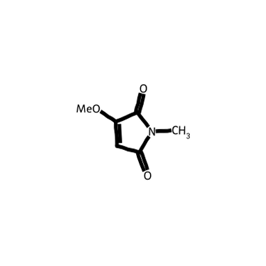 COC1=CC(=O)N(C)C1=O